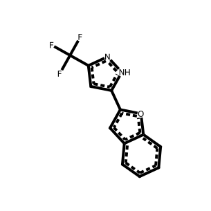 FC(F)(F)c1cc(-c2cc3ccccc3o2)[nH]n1